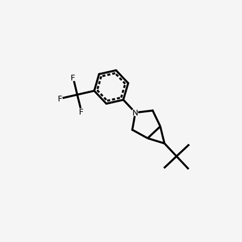 CC(C)(C)C1C2CN(c3cccc(C(F)(F)F)c3)CC21